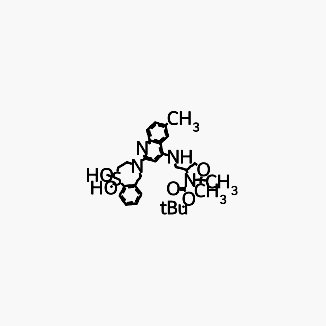 Cc1ccc2nc(N3CCS(O)(O)c4ccccc4C3)cc(NCC3COC(C)(C)N3C(=O)OC(C)(C)C)c2c1